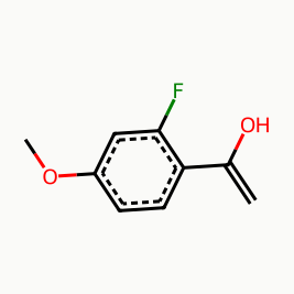 C=C(O)c1ccc(OC)cc1F